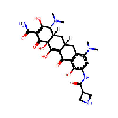 CN(C)c1cc(NC(=O)C2CNC2)c(O)c2c1C[C@H]1C[C@H]3[C@H](N(C)C)C(O)=C(C(N)=O)C(=O)[C@@]3(O)C(O)=C1C2=O